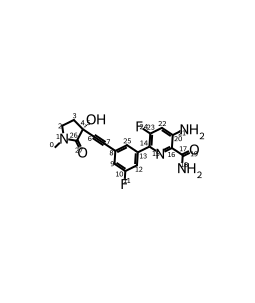 CN1CC[C@@](O)(C#Cc2cc(F)cc(-c3nc(C(N)=O)c(N)cc3F)c2)C1=O